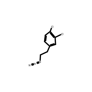 [N-]=[N+]=NCCc1c[c]c(Cl)c(Cl)c1